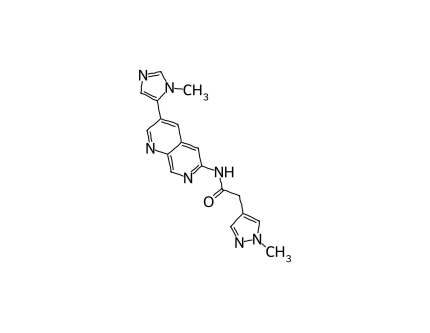 Cn1cc(CC(=O)Nc2cc3cc(-c4cncn4C)cnc3cn2)cn1